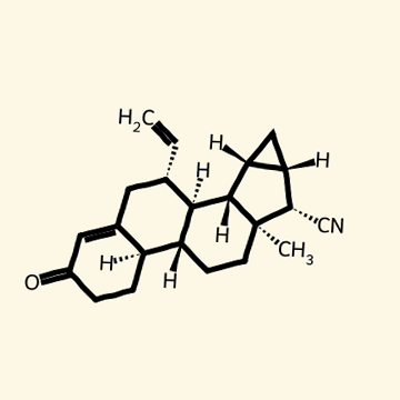 C=C[C@H]1CC2=CC(=O)CC[C@@H]2[C@H]2CC[C@@]3(C)[C@@H]([C@@H]4C[C@@H]4[C@@H]3C#N)[C@@H]21